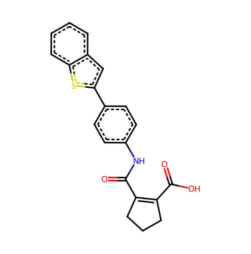 O=C(O)C1=C(C(=O)Nc2ccc(-c3cc4ccccc4s3)cc2)CCC1